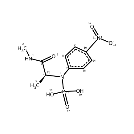 CNC(=O)[C@H](C)N(c1ccc([N+](=O)[O-])cc1)P(=O)(O)O